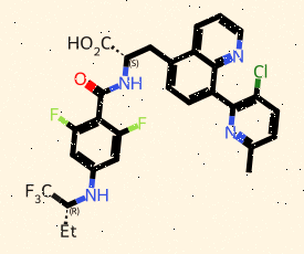 CC[C@@H](Nc1cc(F)c(C(=O)N[C@@H](Cc2ccc(-c3nc(C)ccc3Cl)c3ncccc23)C(=O)O)c(F)c1)C(F)(F)F